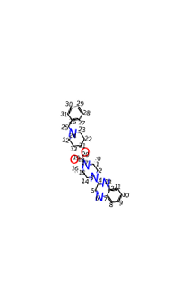 C[C@@H]1CN(c2cnc3ccccc3n2)C[C@H](C)N1C(=O)OC1CCN(Cc2ccccc2)CC1